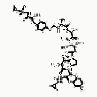 CC[C@H](C)[C@@H]([C@@H](CC(=O)N1CCC[C@H]1[C@H](OC)[C@@H](C)C(=O)N[C@@H](Cc1ccc(O)cc1)C(=O)NS(=O)(=O)C1CC1)OC)N(C)C(=O)[C@@H](NC(=O)[C@@H](NCOc1ccc(C[C@H](N)C(=O)NS(=O)(=O)C2CC2)cc1)C(C)C)C(C)C